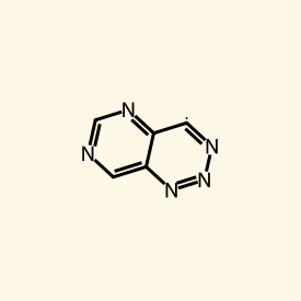 [c]1nnnc2cncnc12